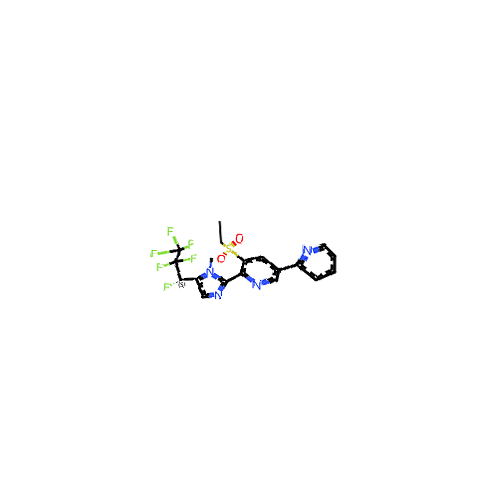 CCS(=O)(=O)c1cc(-c2ccccn2)cnc1-c1ncc([C@H](F)C(F)(F)C(F)(F)F)n1C